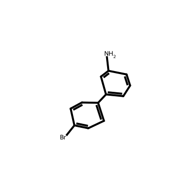 Nc1cccc(-c2ccc(Br)cc2)c1